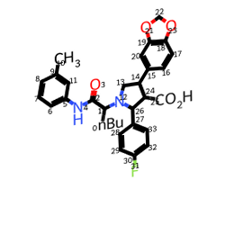 CCCCC(C(=O)Nc1cccc(C)c1)N1CC(c2ccc3c(c2)OCO3)C(C(=O)O)C1c1ccc(F)cc1